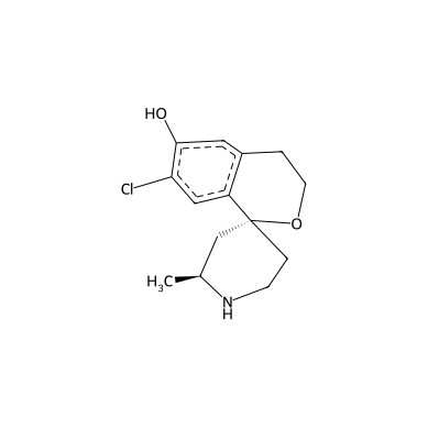 C[C@H]1C[C@@]2(CCN1)OCCc1cc(O)c(Cl)cc12